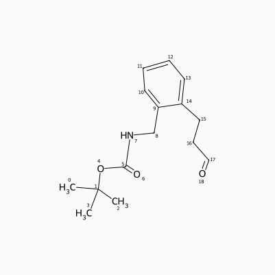 CC(C)(C)OC(=O)NCc1ccccc1CCC=O